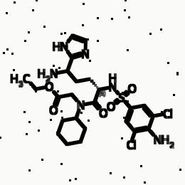 CCOC(=O)CN(C(=O)[C@H](CCC(N)c1ncc[nH]1)NS(=O)(=O)c1cc(Cl)c(N)c(Cl)c1)C1CCCCC1